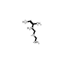 CC=C(C)[SiH2]COC[SiH3]